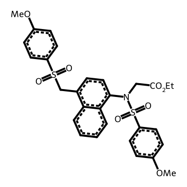 CCOC(=O)CN(c1ccc(CS(=O)(=O)c2ccc(OC)cc2)c2ccccc12)S(=O)(=O)c1ccc(OC)cc1